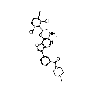 C[C@@H](Oc1c(N)ncc2c(-c3cccc(C(=O)N4CCN(C)CC4)c3)coc12)c1c(Cl)ccc(F)c1Cl